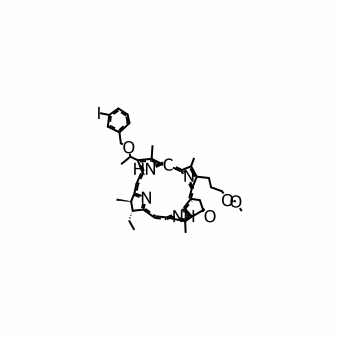 CC[C@H]1c2cc3[nH]c4c(c5nc(cc6[nH]c(cc(n2)[C@@H]1C)c(C(C)OCc1cccc(I)c1)c6C)C(C)=C5CCCOOC)CC(=O)c4c3C